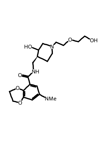 CNc1cc2c(c(C(=O)NC[C@@H]3CCN(CCOCCO)CC3O)c1)OCCO2